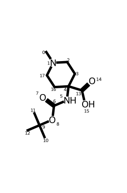 CN1CCC(NC(=O)OC(C)(C)C)(C(=O)O)CC1